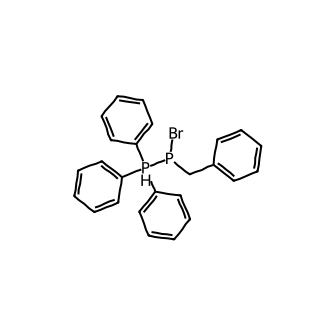 BrP(Cc1ccccc1)[PH](c1ccccc1)(c1ccccc1)c1ccccc1